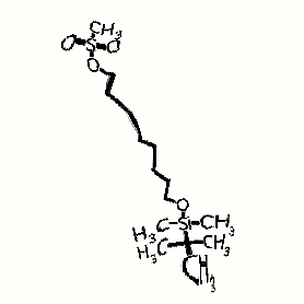 CC(C)(C)[Si](C)(C)OCCCCCCCCOS(C)(=O)=O